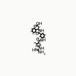 Cc1nc(NC(=N)N)sc1C(=O)Nc1cccc(C(=O)NC(CC(=O)O)c2ccccc2)c1